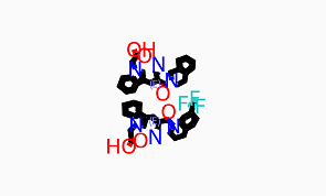 N#C/C(=C\c1cn(CC(=O)O)c2ccccc12)C(=O)N1CCCc2ccc(C(F)(F)F)cc21.N#C/C(=C\c1cn(CC(=O)O)c2ccccc12)C(=O)N1CCc2ccccc2C1